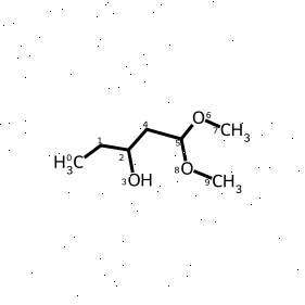 CCC(O)CC(OC)OC